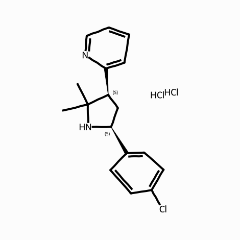 CC1(C)N[C@H](c2ccc(Cl)cc2)C[C@@H]1c1ccccn1.Cl.Cl